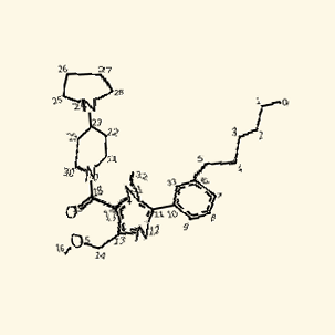 CCCCCCc1cccc(-c2nc(COC)c(C(=O)N3CCC(N4CCCC4)CC3)n2C)c1